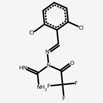 N=C(N)N(/N=C/c1c(Cl)cccc1Cl)C(=O)C(F)(F)F